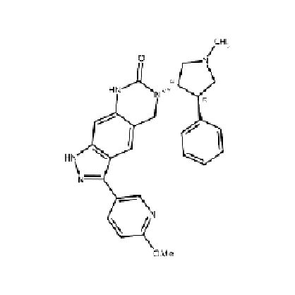 COc1ccc(-c2n[nH]c3cc4c(cc23)CN([C@@H]2CN(C)C[C@H]2c2ccccc2)C(=O)N4)cn1